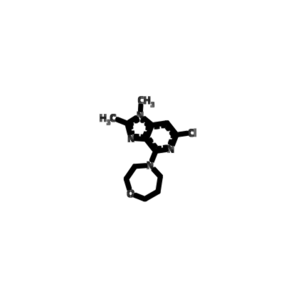 Cc1nc2c(N3CCCOCC3)nc(Cl)cc2n1C